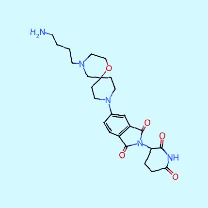 NCCCCN1CCOC2(CCN(c3ccc4c(c3)C(=O)N(C3CCC(=O)NC3=O)C4=O)CC2)C1